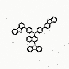 c1ccc2c(c1)oc1cc(-c3ccc(N(c4ccc(-c5cccc6c5oc5ccccc56)cc4)c4ccc(-n5c6ccccc6c6ccccc65)c5ccccc45)cc3)ccc12